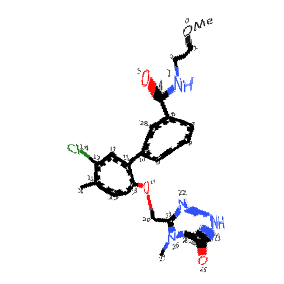 COCCNC(=O)c1cccc(-c2cc(Cl)c(C)cc2OCc2n[nH]c(=O)n2C)c1